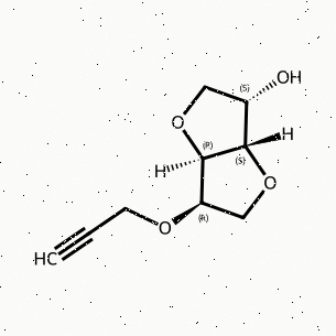 C#CCO[C@@H]1CO[C@@H]2[C@@H]1OC[C@@H]2O